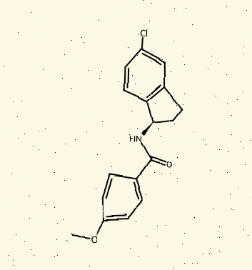 COc1ccc(C(=O)N[C@@H]2CCc3cc(Cl)ccc32)cc1